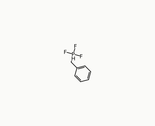 F[PH](F)(F)Cc1ccccc1